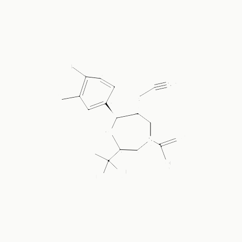 CC(C)(C)C1CN(C(=O)O)C[C@@H](CC#N)[C@H](c2ccc(Cl)c(Cl)c2)O1